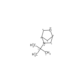 CC(C)(C)N1CC2CC1CO2